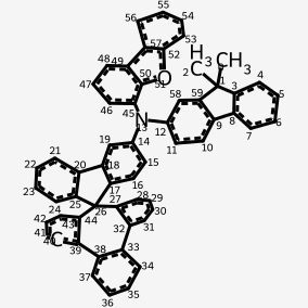 CC1(C)c2ccccc2-c2ccc(N(c3ccc4c(c3)-c3ccccc3C43c4ccccc4-c4ccccc4-c4ccccc43)c3cccc4c3oc3ccccc34)cc21